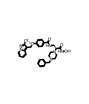 O=C(NC[C@@H](C(=O)NO)N1CCN(Cc2ccccc2)CC1)c1ccc(OCc2c(C(F)(F)F)nn3ccccc23)cc1